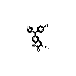 Cc1cc2cc(C(c3ccc(Cl)cc3)n3ccnc3)ccc2[nH]c1=O